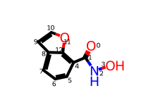 O=C(NO)c1cccc2ccoc12